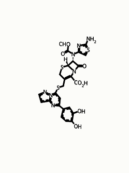 Nc1nc(N(C(=O)C=O)[C@@H]2C(=O)N3C(C(=O)O)=C(CSc4cc(-c5ccc(O)c(O)c5)nc5ccnn45)CS[C@H]23)cs1